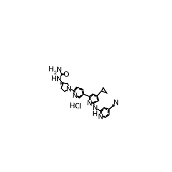 Cl.N#Cc1ccnc(Nc2cc(C3CC3)cc(-c3ccc(N4CC[C@@H](NC(N)=O)C4)nc3)n2)c1